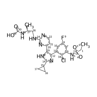 CCS(=O)(=O)Nc1cc(F)cc(-c2nc(C3CC3)[nH]c2-c2ccnc(NC[C@H](C)NC(=O)O)n2)c1Cl